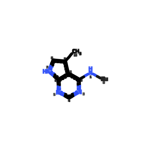 CCC(C)Nc1ncnc2[nH]cc(C)c12